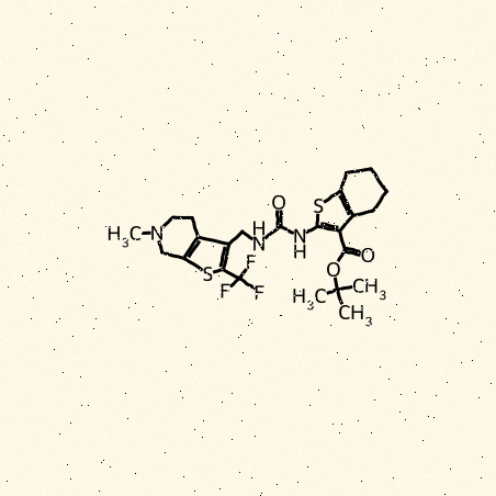 CN1CCc2c(sc(C(F)(F)F)c2CNC(=O)Nc2sc3c(c2C(=O)OC(C)(C)C)CCCC3)C1